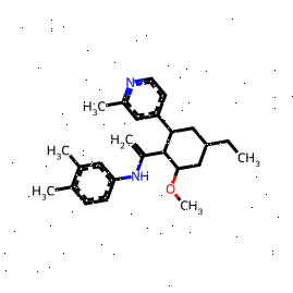 C=C(Nc1ccc(C)c(C)c1)C1C(OC)CC(CC)CC1c1ccnc(C)c1